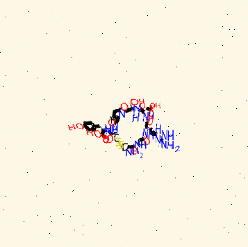 N=C(N)NCCC[C@@H]1NC(=O)CNC(=O)[C@@H](N)CSSC[C@@H](C(=O)N[C@@H](Cc2ccc(O)cc2)C(=O)O)NC(=O)[C@@H]2CCCN2C(=O)[C@H](CO)NC(=O)[C@H](CC(=O)O)NC1=O